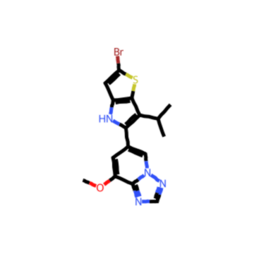 COc1cc(-c2[nH]c3cc(Br)sc3c2C(C)C)cn2ncnc12